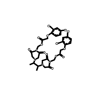 CC(C(C)N1CC(=O)N(COC(=O)COc2ccc(Cl)cc2Cl)C(=O)C1)N1CC(=O)N(COC(=O)COc2ccc(Cl)cc2Cl)C(=O)C1